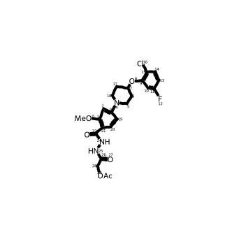 COc1cc(N2CCC(Oc3cc(F)ccc3Cl)CC2)ccc1C(=O)NNC(=O)COC(C)=O